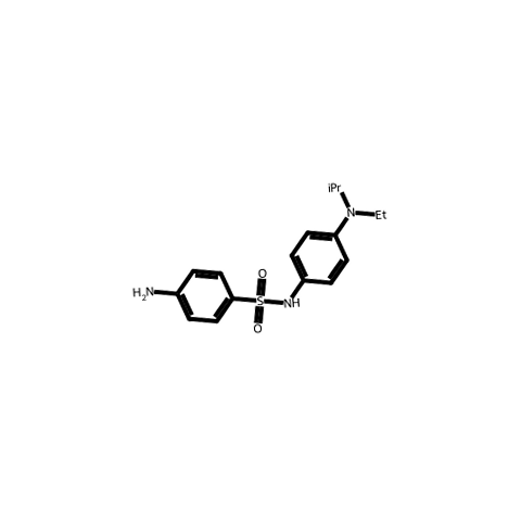 CCN(c1ccc(NS(=O)(=O)c2ccc(N)cc2)cc1)C(C)C